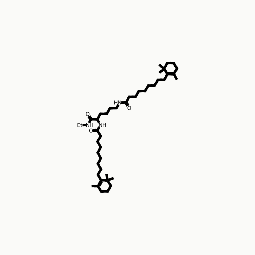 CCNC(=O)C(CCCCNC(=O)CCCCCCCCC1=C(C)CCCC1(C)C)NC(=O)CCCCCCCCC1=C(C)CCCC1(C)C